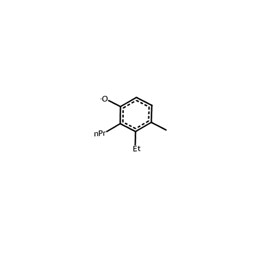 CCCc1c([O])ccc(C)c1CC